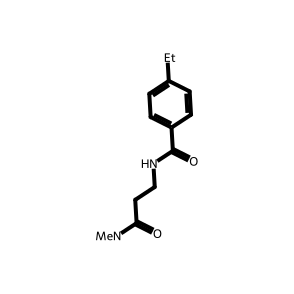 CCc1ccc(C(=O)NCCC(=O)NC)cc1